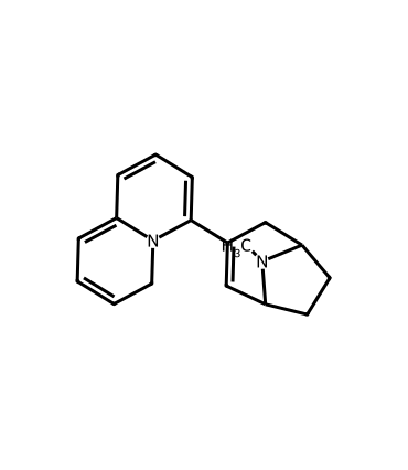 CN1C2C=C(C3=CC=CC4=CC=CCN43)CC1CC2